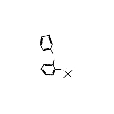 FC(F)(F)Nc1ccccc1Oc1[c]cccc1